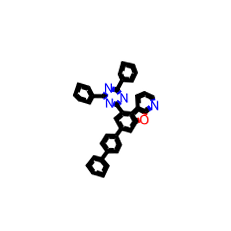 c1ccc(-c2ccc(-c3cc(-c4nc(-c5ccccc5)nc(-c5ccccc5)n4)c4c(c3)oc3ncccc34)cc2)cc1